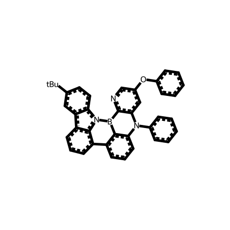 CC(C)(C)c1ccc2c(c1)c1cccc3c1n2B1c2ncc(Oc4ccccc4)cc2N(c2ccccc2)c2cccc-3c21